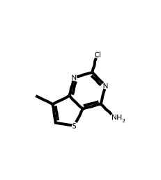 Cc1csc2c(N)nc(Cl)nc12